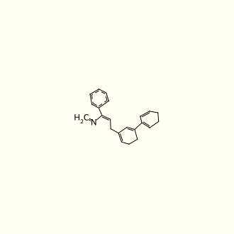 C=N/C(=C\CC1=CCCC(C2=CCCC=C2)=C1)c1ccccc1